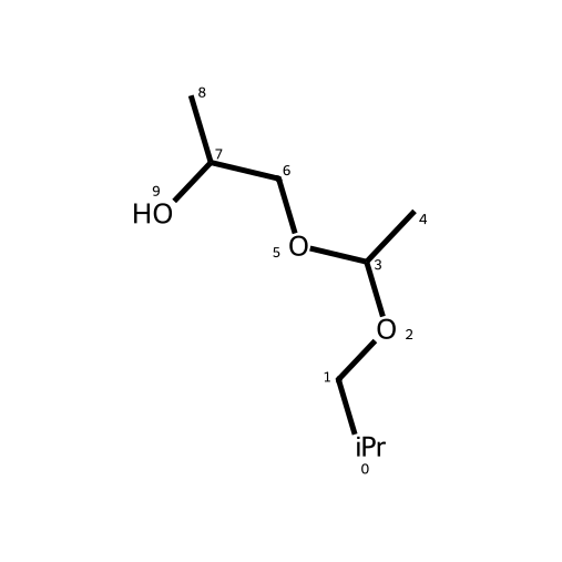 CC(C)COC(C)OCC(C)O